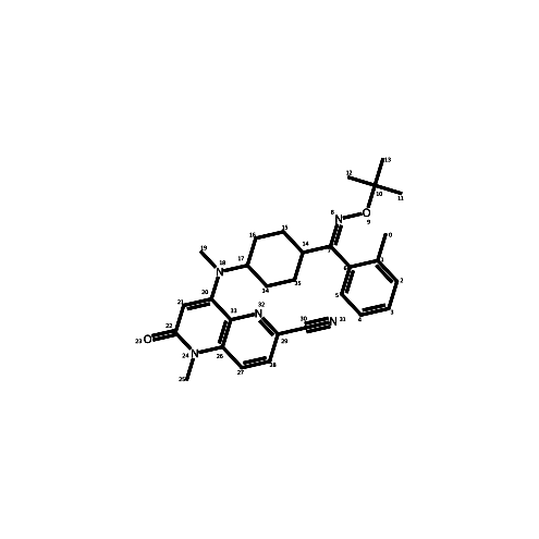 Cc1ccccc1/C(=N\OC(C)(C)C)C1CCC(N(C)c2cc(=O)n(C)c3ccc(C#N)nc23)CC1